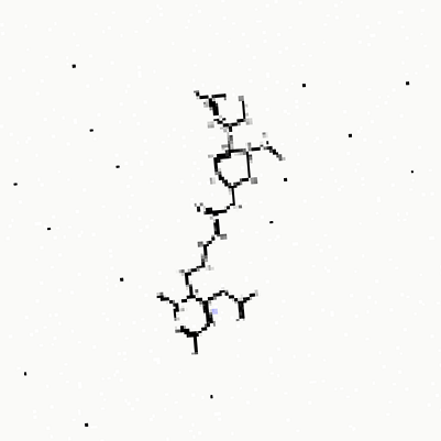 C=C(C)/C=C(/CC(C)C)C(CCCCC(=O)CC1CC=C(C(C=C(C)C)CC)C(OC)C1)C(C)C